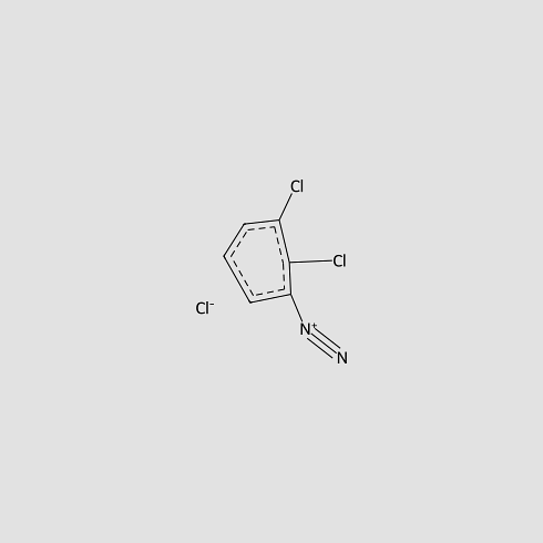 N#[N+]c1cccc(Cl)c1Cl.[Cl-]